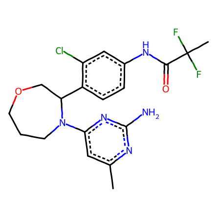 Cc1cc(N2CCCOCC2c2ccc(NC(=O)C(C)(F)F)cc2Cl)nc(N)n1